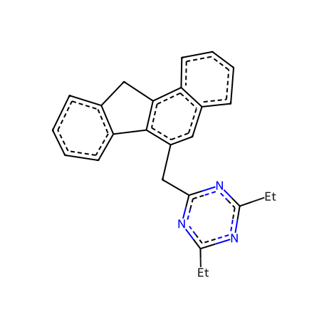 CCc1nc(CC)nc(Cc2cc3ccccc3c3c2-c2ccccc2C3)n1